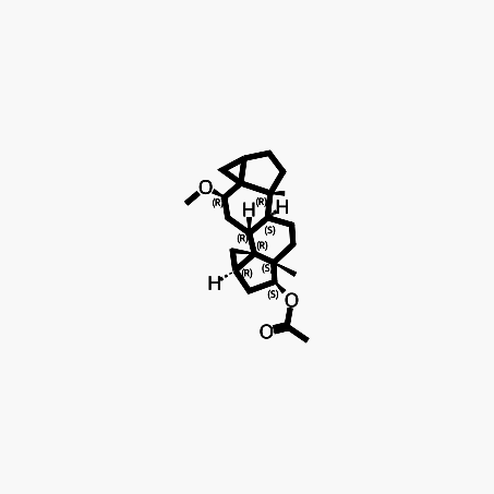 CO[C@@H]1C[C@@H]2[C@H](CC[C@]3(C)[C@@H](OC(C)=O)C[C@H]4C[C@@]423)[C@@]2(C)CCC3CC312